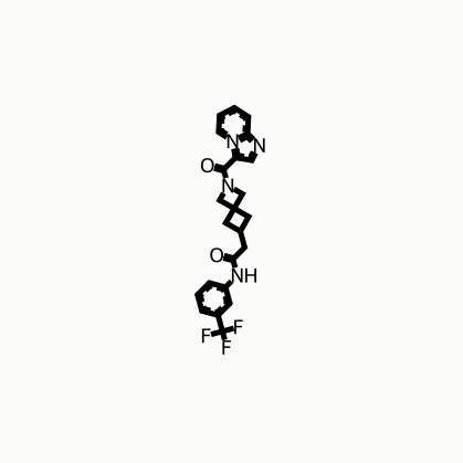 O=C(CC1CC2(C1)CN(C(=O)c1cnc3ccccn13)C2)Nc1cccc(C(F)(F)F)c1